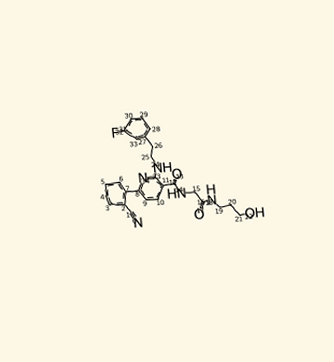 N#Cc1ccccc1-c1ccc(C(=O)NCC(=O)NCCCO)c(NCCc2cccc(F)c2)n1